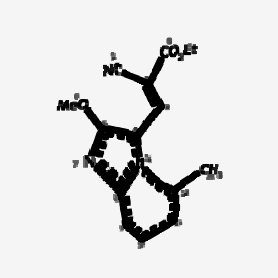 CCOC(=O)C(C#N)=Cc1c(OC)nc2cccc(C)n12